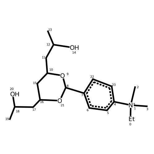 CC[N+](C)(C)c1ccc(C2OC(CC(C)O)CC(CC(C)O)O2)cc1